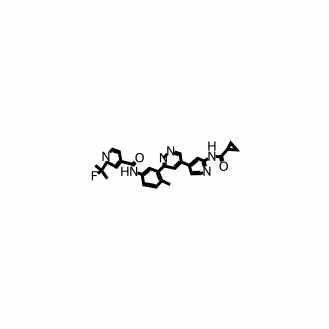 Cc1ccc(NC(=O)c2ccnc(C(C)(C)F)c2)cc1-c1cc(-c2ccnc(NC(=O)C3CC3)c2)cnn1